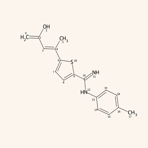 C=C(O)/C=C(\C)c1ccc(C(=N)Nc2ccc(C)cc2)s1